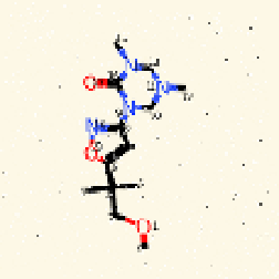 COCC(C)(C)c1cc(N2CN(C)CN(C)C2=O)no1